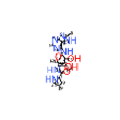 Cc1nc2ncnc(N[C@H]3O[C@@H](C)[C@H](NC(=O)[C@H]4CCCN4)[C@@H](O)[C@@H]3O)c2[nH]1